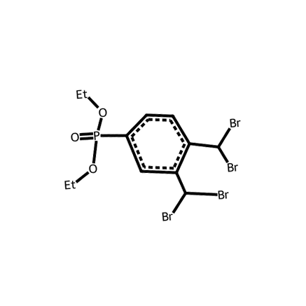 CCOP(=O)(OCC)c1ccc(C(Br)Br)c(C(Br)Br)c1